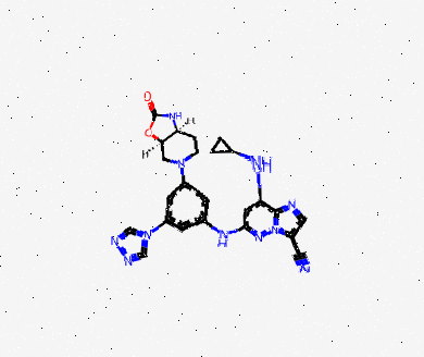 N#Cc1cnc2c(NC3CC3)cc(Nc3cc(N4CC[C@@H]5NC(=O)O[C@@H]5C4)cc(-n4cnnc4)c3)nn12